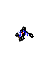 C1=CC(C2Nc3c(ccc4ccc5cc(-c6nc(-c7ccccc7)cc(-c7ccccc7-c7ccccc7)n6)ccc5c34)S2)CCC1